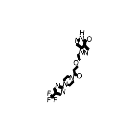 O=C(CCOCCn1ncc2c(=O)[nH]ncc21)N1CCN(c2ncc(C(F)(F)F)cn2)CC1